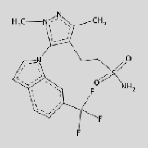 Cc1nn(C)c(-n2ccc3ccc(C(F)(F)F)cc32)c1CCS(N)(=O)=O